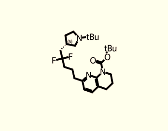 CC(C)(C)OC(=O)N1CCCc2ccc(CCCC(F)(F)C[C@@H]3CCN(C(C)(C)C)C3)nc21